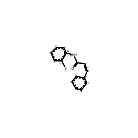 O=C(/C=C\c1ccccc1)Nc1ccccc1Br